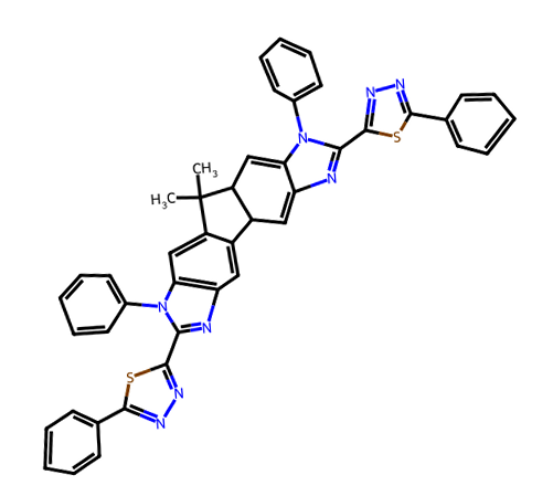 CC1(C)c2cc3c(cc2C2C=c4nc(-c5nnc(-c6ccccc6)s5)n(-c5ccccc5)c4=CC21)nc(-c1nnc(-c2ccccc2)s1)n3-c1ccccc1